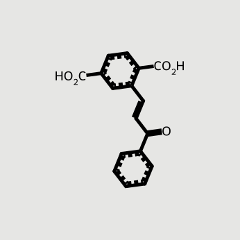 O=C(O)c1ccc(C(=O)O)c(C=CC(=O)c2ccccc2)c1